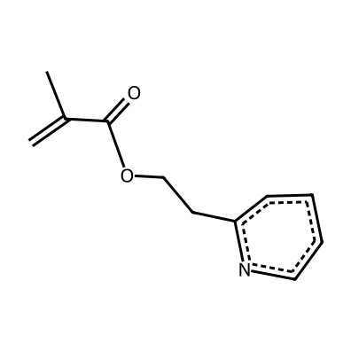 C=C(C)C(=O)OCCc1ccccn1